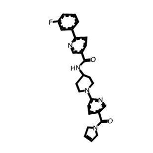 O=C(NC1CCN(c2ccc(C(=O)N3CC=CC3)cn2)CC1)c1ccc(-c2cccc(F)c2)nc1